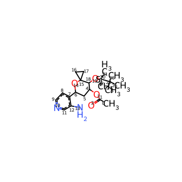 CC(=O)OC1CC(c2ccncc2N)OC2(CC2)C1O[Si](C)(C)C(C)(C)C